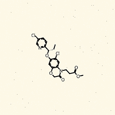 CC[C@H](Oc1cc2c(cc1Cl)N(CCC(=O)OC)C(=O)CO2)c1ccc(Cl)cn1